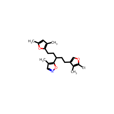 CCc1occ(CCC(CCc2oc(C)cc2C)c2oncc2C)c1C